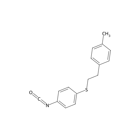 Cc1ccc(CCSc2ccc(N=C=O)cc2)cc1